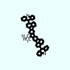 CC1(C)c2cc3c(cc2-c2cc4c(cc21)-c1ccc(-c2c5ccccc5nc5ccccc25)c2cccc-4c12)-c1cccc2c(-c4c5ccccc5nc5ccccc45)ccc-3c12